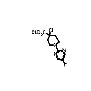 CCOC(=O)C1(Cl)CCN(c2ncc(F)cn2)CC1